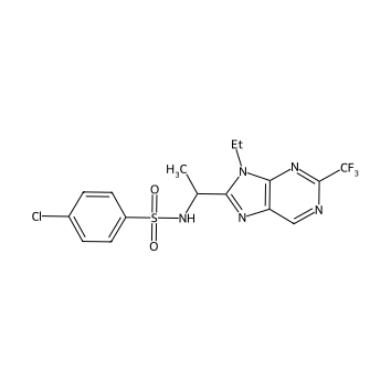 CCn1c(C(C)NS(=O)(=O)c2ccc(Cl)cc2)nc2cnc(C(F)(F)F)nc21